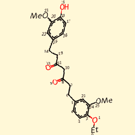 CCOc1ccc(CCC(=O)CC(=O)CCc2ccc(O)c(OC)c2)cc1OC